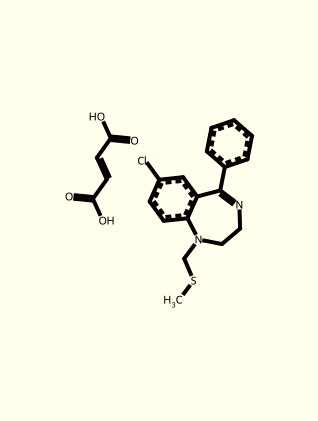 CSCN1CCN=C(c2ccccc2)c2cc(Cl)ccc21.O=C(O)C=CC(=O)O